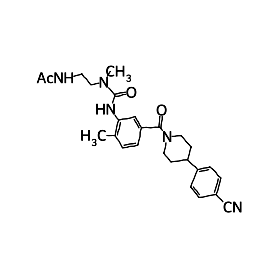 CC(=O)NCCN(C)C(=O)Nc1cc(C(=O)N2CCC(c3ccc(C#N)cc3)CC2)ccc1C